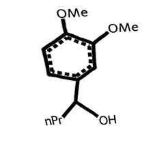 CCCC(O)c1ccc(OC)c(OC)c1